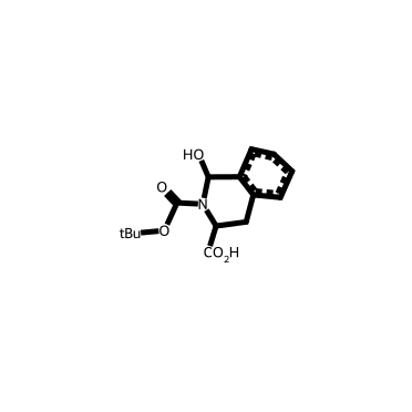 CC(C)(C)OC(=O)N1C(C(=O)O)Cc2ccccc2C1O